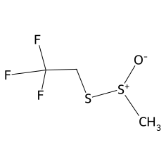 C[S+]([O-])SCC(F)(F)F